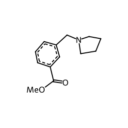 COC(=O)c1cccc(CN2CCCC2)c1